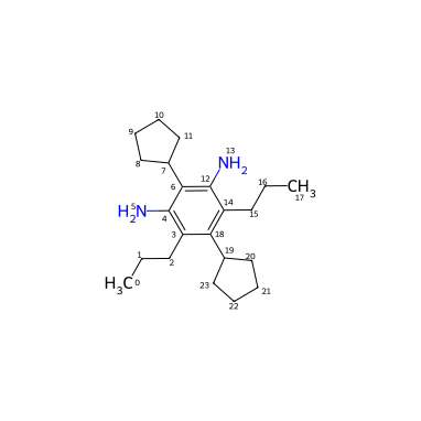 CCCc1c(N)c(C2CCCC2)c(N)c(CCC)c1C1CCCC1